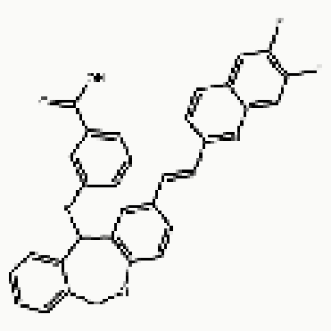 O=C(O)c1cccc(SC2c3ccccc3COc3ccc(C=Cc4ccc5cc(F)c(F)cc5n4)cc32)c1